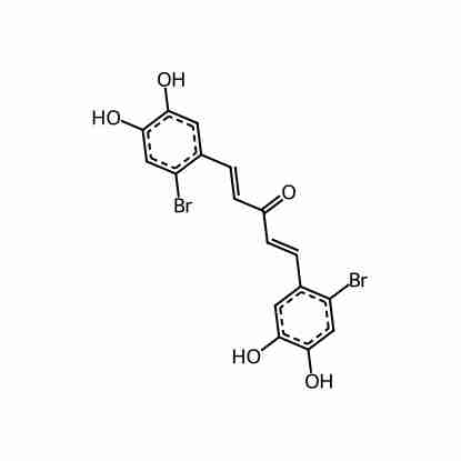 O=C(C=Cc1cc(O)c(O)cc1Br)C=Cc1cc(O)c(O)cc1Br